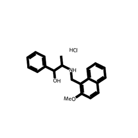 COc1ccc2ccccc2c1CNC(C)C(O)c1ccccc1.Cl